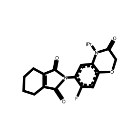 CC(C)N1C(=O)COc2cc(F)c(N3C(=O)C4=C(CCCC4)C3=O)cc21